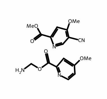 COC(=O)c1cc(OC)c(C#N)cn1.COc1ccnc(C(=O)OCN)c1